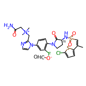 CC(=CS(=O)(=O)N[C@H]1CCN(c2ccc(-n3ccnc3C[N+](C)(C)CC(N)=O)cc2F)C1=O)c1ccc(Cl)s1.O=C[O-]